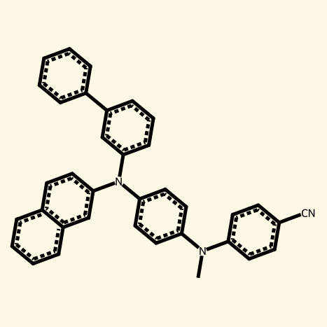 CN(c1ccc(C#N)cc1)c1ccc(N(c2cccc(-c3ccccc3)c2)c2ccc3ccccc3c2)cc1